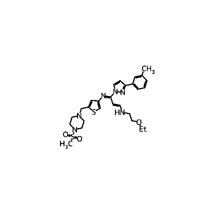 CCOCCN/C=C/C(=N\c1csc(CN2CCN(S(C)(=O)=O)CC2)c1)n1ccc(-c2cccc(C)c2)n1